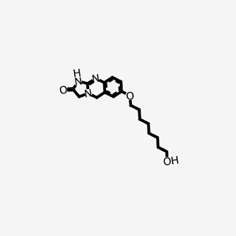 O=C1CN2Cc3cc(OCCCCCCCCO)ccc3N=C2N1